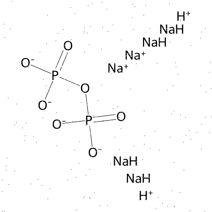 O=P([O-])([O-])OP(=O)([O-])[O-].[H+].[H+].[Na+].[Na+].[NaH].[NaH].[NaH].[NaH]